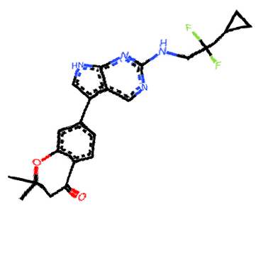 CC1(C)CC(=O)c2ccc(-c3c[nH]c4nc(NCC(F)(F)C5CC5)ncc34)cc2O1